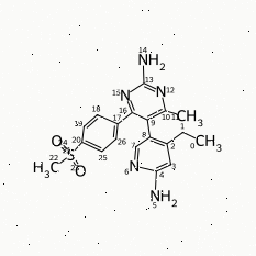 CCc1cc(N)ncc1-c1c(C)nc(N)nc1-c1ccc(S(C)(=O)=O)cc1